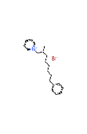 CC(CCCCCCc1ccccc1)C[n+]1ccccc1.[Br-]